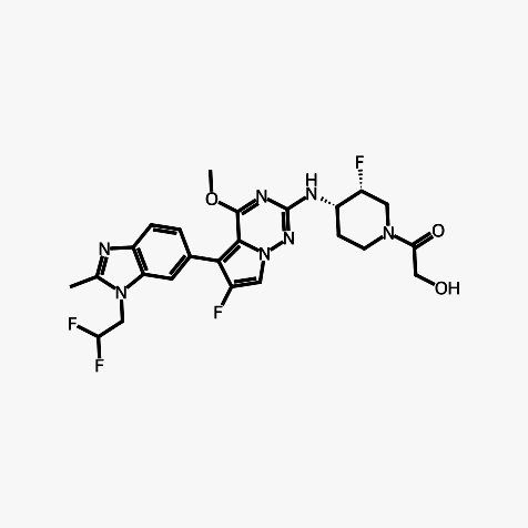 COc1nc(N[C@H]2CCN(C(=O)CO)C[C@H]2F)nn2cc(F)c(-c3ccc4nc(C)n(CC(F)F)c4c3)c12